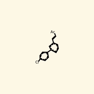 CC(=O)C=Cc1cccc(-c2ccc(Cl)cc2)c1